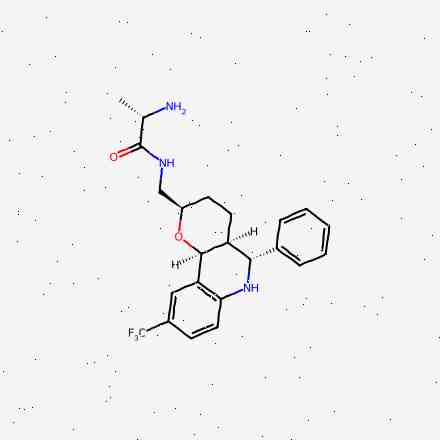 C[C@H](N)C(=O)NC[C@H]1CC[C@@H]2[C@H](O1)c1cc(C(F)(F)F)ccc1N[C@H]2c1ccccc1